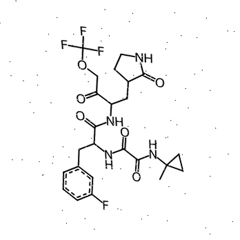 CC1(NC(=O)C(=O)NC(Cc2cccc(F)c2)C(=O)NC(CC2CCNC2=O)C(=O)COC(F)(F)F)CC1